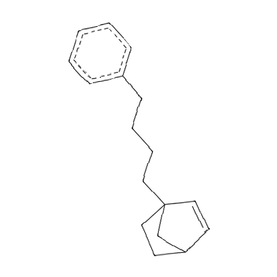 C1=CC2(CCCCc3ccccc3)CCC1C2